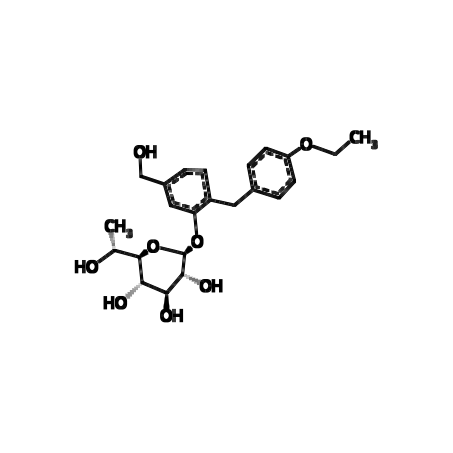 CCOc1ccc(Cc2ccc(CO)cc2O[C@@H]2O[C@H]([C@@H](C)O)[C@@H](O)[C@H](O)[C@H]2O)cc1